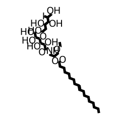 CCCCCCCC/C=C/CCCCCCCC(=O)OC(CNC(=O)C(O)C(O)C(O[C@@H](O)C[C@H](O)[C@H](O)C(I)CO)C(O)CO)COCC